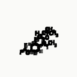 CCN(C(=O)OC(C)(C)C)c1ccc(OC(F)F)cc1F